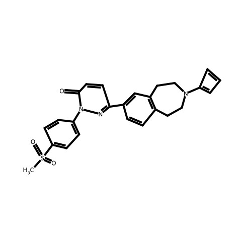 CS(=O)(=O)c1ccc(-n2nc(-c3ccc4c(c3)CCN(C3=CC=C3)CC4)ccc2=O)cc1